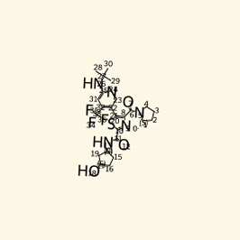 C[C@H]1CCCN1C(=O)c1nc(C(=O)N[C@H]2CC[C@H](O)C2)sc1-c1cnc(NC(C)(C)C)cc1C(F)(F)F